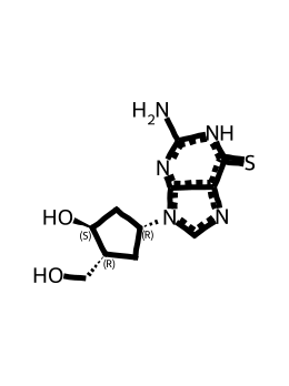 Nc1nc2c(ncn2[C@@H]2C[C@H](CO)[C@@H](O)C2)c(=S)[nH]1